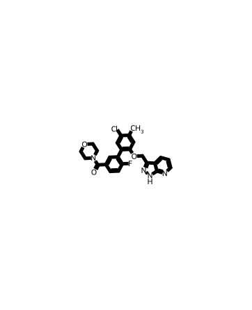 Cc1cc(OCc2n[nH]c3ncccc23)c(-c2cc(C(=O)N3CCOCC3)ccc2F)cc1Cl